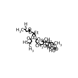 CCC(COC(=O)CC(C)S)(COC(=O)CC(C)S)COC(=O)CC(C)SCC(C)C(=O)C(C)(C)OCCC(C)(C)OP(=O)(O)O